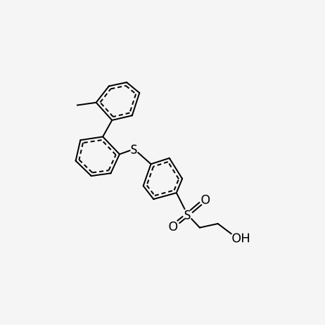 Cc1ccccc1-c1ccccc1Sc1ccc(S(=O)(=O)CCO)cc1